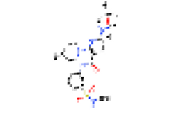 CC(C)(C)NS(=O)(=O)c1cccc(NC(=O)c2ccc(N3CC[C@H]4CC[C@@H]3O4)nc2N2CCC3(CC2)CC3)c1